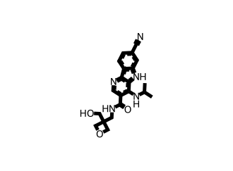 CC(C)Nc1c(C(=O)NCC2(CO)COC2)cnc2c1[nH]c1cc(C#N)ccc12